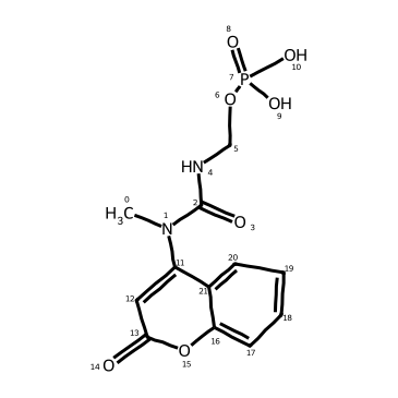 CN(C(=O)NCOP(=O)(O)O)c1cc(=O)oc2ccccc12